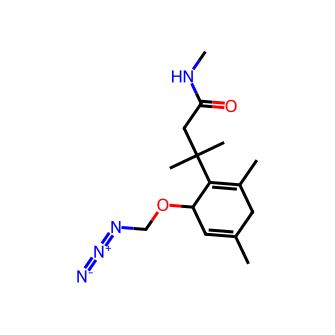 CNC(=O)CC(C)(C)C1=C(C)CC(C)=CC1OCN=[N+]=[N-]